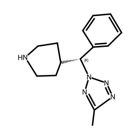 Cc1nnn([C@@H](c2ccccc2)C2CCNCC2)n1